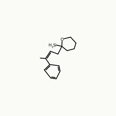 CC(=CCC1([SiH3])CCCCO1)c1ccccc1